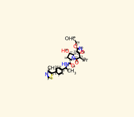 Cc1ncsc1-c1ccc(C(C)NC(=O)[C@@H]2C[C@@H](O)CN2C(=O)C(c2cc(OCC=O)no2)C(C)C)cc1